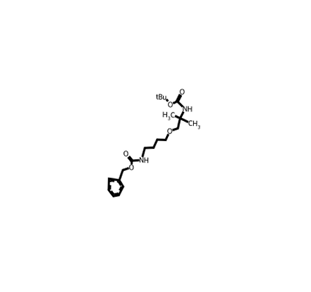 CC(C)(COCCCCNC(=O)OCc1ccccc1)NC(=O)OC(C)(C)C